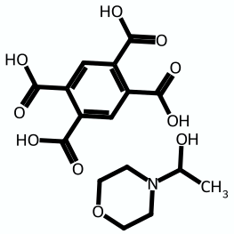 CC(O)N1CCOCC1.O=C(O)c1cc(C(=O)O)c(C(=O)O)cc1C(=O)O